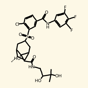 C[C@H]1CC2CC(S(=O)(=O)c3cc(C(=O)Nc4cc(F)c(F)c(F)c4)ccc3Cl)CC1[C@@]2(O)CC(=O)NCC(O)C(C)(C)O